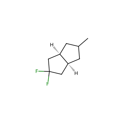 CC1C[C@@H]2CC(F)(F)C[C@@H]2C1